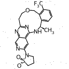 C[C@H]1Nc2nc(nc3cnc(N4CCCS4(=O)=O)cc23)CCOCc2c1cccc2C(F)(F)F